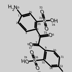 Nc1ccc(C(=O)C(=O)c2ccc(N)cc2S(=O)(=O)O)c(S(=O)(=O)O)c1